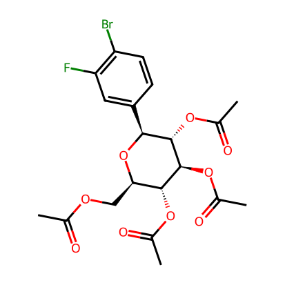 CC(=O)OC[C@H]1O[C@@H](c2ccc(Br)c(F)c2)[C@H](OC(C)=O)[C@@H](OC(C)=O)[C@@H]1OC(C)=O